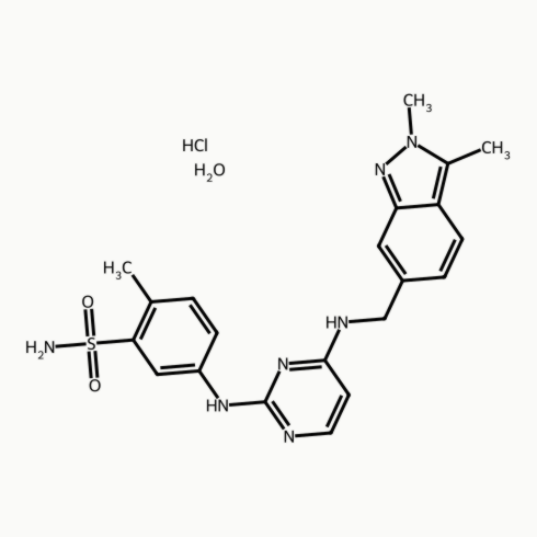 Cc1ccc(Nc2nccc(NCc3ccc4c(C)n(C)nc4c3)n2)cc1S(N)(=O)=O.Cl.O